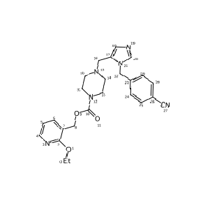 CCOc1ncccc1COC(=O)N1CCN(Cc2cncn2Cc2ccc(C#N)cc2)CC1